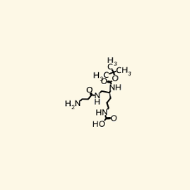 CC(C)(C)OC(=O)N[C@@H](CCCNC(=O)O)CNC(=O)CCN